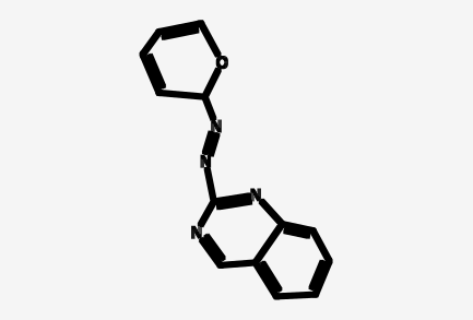 C1=COC(N=Nc2ncc3ccccc3n2)C=C1